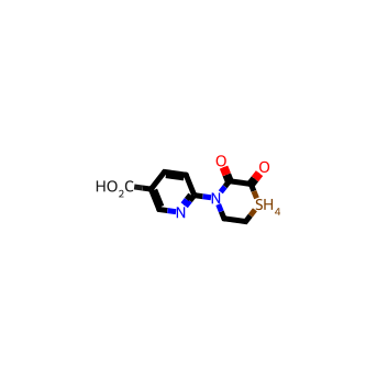 O=C1[SH4]CCN(c2ccc(C(=O)O)cn2)C1=O